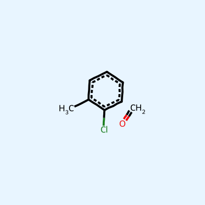 C=O.Cc1ccccc1Cl